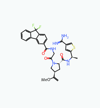 C=C(OC)[C@@H]1C[C@@H](C(=O)N[C@H](C)c2cc(C(=N)N)cs2)N(C(=O)CNC(=O)c2ccc3c(c2)-c2ccccc2C3(F)F)C1